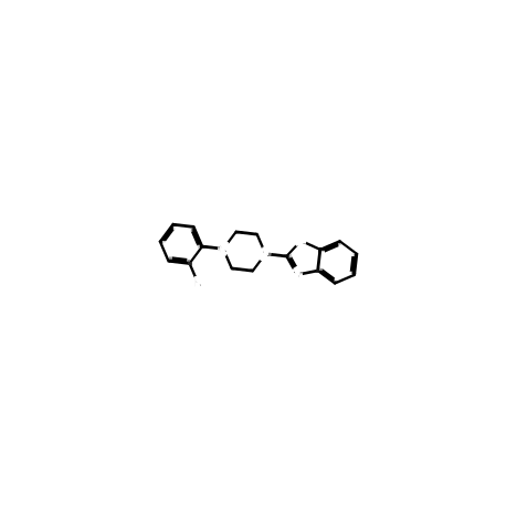 Nc1ccccc1N1CCN(c2nc3ccccc3s2)CC1